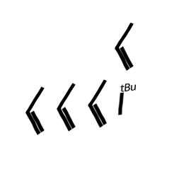 C=CC.C=CC.C=CC.C=CC.CC(C)(C)C